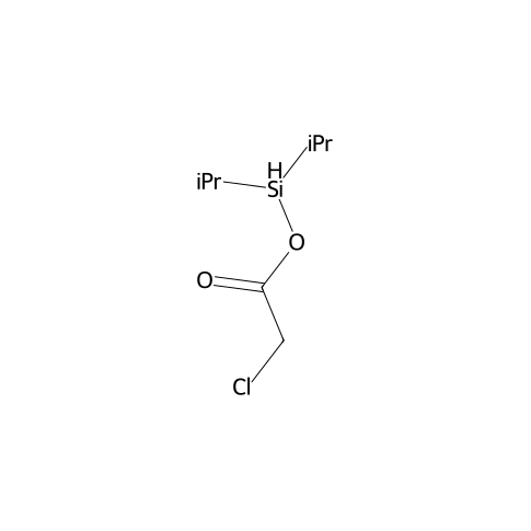 CC(C)[SiH](OC(=O)CCl)C(C)C